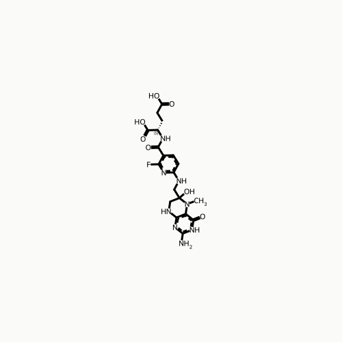 CN1c2c(nc(N)[nH]c2=O)NCC1(O)CNc1ccc(C(=O)N[C@@H](CCC(=O)O)C(=O)O)c(F)n1